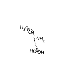 CN1CCN(CCC(N)CCCCB(O)O)CC1